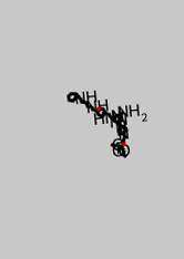 CCOP(=O)(CCCN1CCN(c2nc(N)nc(NC[C@H]3CC[C@H](CNCCCNC4CCCCC4)CC3)n2)CC1)OCC